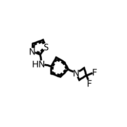 FC1(F)CN(c2ccc(Nc3nccs3)cc2)C1